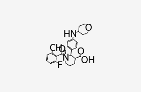 Cc1cccc(F)c1C(=O)N1CCC[C@H](C(=O)O)[C@@H]1c1ccc(NC2CCOCC2)cc1